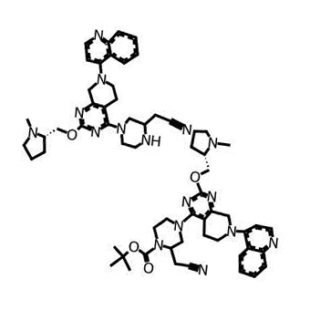 CN1CCC[C@H]1COc1nc2c(c(N3CCN(C(=O)OC(C)(C)C)C(CC#N)C3)n1)CCN(c1ccnc3ccccc13)C2.CN1CCC[C@H]1COc1nc2c(c(N3CCNC(CC#N)C3)n1)CCN(c1ccnc3ccccc13)C2